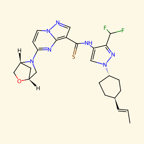 C/C=C/[C@H]1CC[C@H](n2cc(NC(=S)c3cnn4ccc(N5C[C@H]6C[C@@H]5CO6)nc34)c(C(F)F)n2)CC1